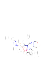 C=CN(CC)/C(=C(/C)C(C)(OC)S/C=N\CC)C(C)N1CCOCC1